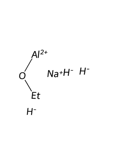 CC[O][Al+2].[H-].[H-].[H-].[Na+]